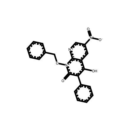 O=c1c(-c2ccccc2)c(O)c2cc([N+](=O)[O-])cnc2n1OCc1ccccc1